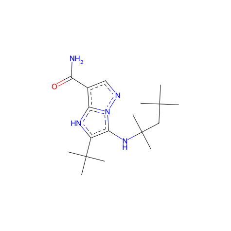 CC(C)(C)CC(C)(C)Nc1c(C(C)(C)C)[nH]c2c(C(N)=O)cnn12